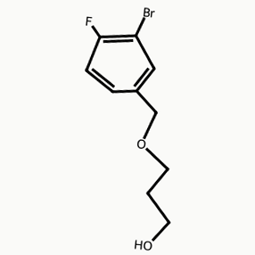 OCCCOCc1ccc(F)c(Br)c1